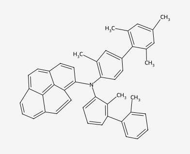 Cc1cc(C)c(-c2ccc(N(c3cccc(-c4ccccc4C)c3C)c3ccc4ccc5cccc6ccc3c4c56)c(C)c2)c(C)c1